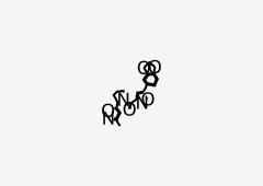 Cc1cc(C2CCCN2C(=O)c2cc(-c3ccc4c(c3)OCO4)on2)on1